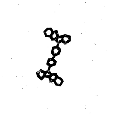 c1cnc2c(c1)c1cc3c(cc1n2-c1ccc(-c2ccc(-n4c5cc6c(nc5c5cccnc54)CCCC6)cc2)cc1)CCCC3